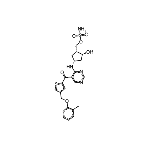 Cc1ccccc1OCc1csc(C(=O)c2cncnc2N[C@@H]2C[C@H](COS(N)(=O)=O)[C@@H](O)C2)c1